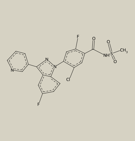 CS(=O)(=O)NC(=O)c1cc(Cl)c(-n2nc(-c3cccnc3)c3cc(F)ccc32)cc1F